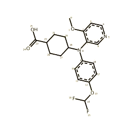 COc1ccncc1N(c1ccc(OC(F)F)cc1)C1CCC(C(=O)O)CC1